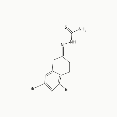 NC(=S)N/N=C1\CCc2c(Br)cc(Br)cc2C1